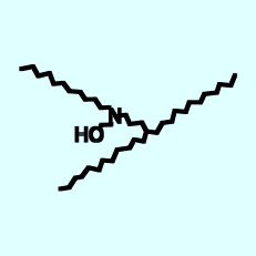 CCCCCCCCCCCCC(CCCCCCCCCCCC)CCCN(CCO)CCCCCCCCCCCC